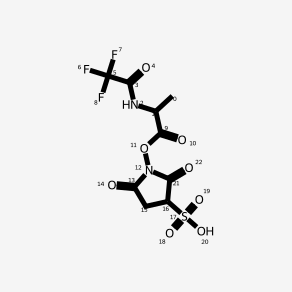 CC(NC(=O)C(F)(F)F)C(=O)ON1C(=O)CC(S(=O)(=O)O)C1=O